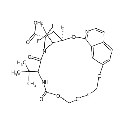 CC(C)(C)[C@@H]1NC(=O)OCCCCCc2ccc3ccnc(c3c2)O[C@@H]2C[C@@H](C(=O)O)N(C1=O)C2C(F)(F)F